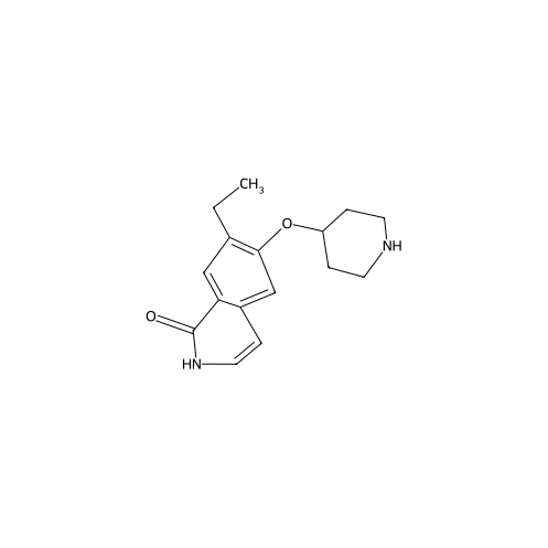 CCc1cc2c(=O)[nH]ccc2cc1OC1CCNCC1